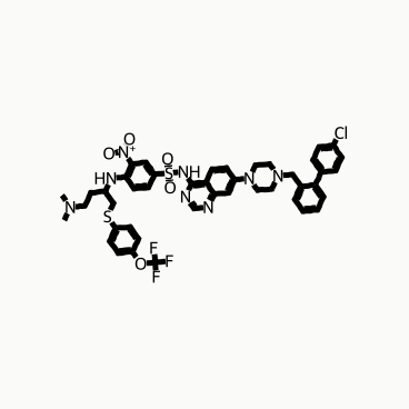 CN(C)CCC(CSc1ccc(OC(F)(F)F)cc1)Nc1ccc(S(=O)(=O)Nc2ncnc3cc(N4CCN(Cc5ccccc5-c5ccc(Cl)cc5)CC4)ccc23)cc1[N+](=O)[O-]